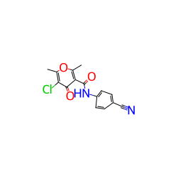 Cc1oc(C)c(C(=O)Nc2ccc(C#N)cc2)c(=O)c1Cl